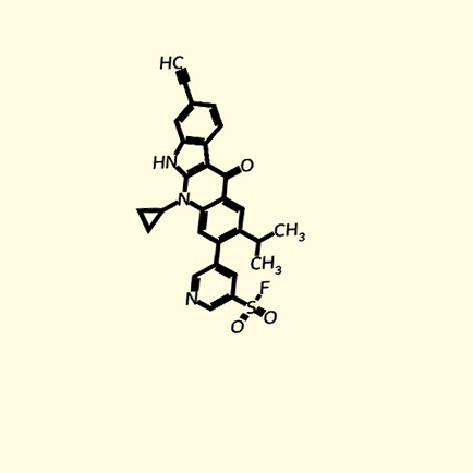 C#Cc1ccc2c(c1)[nH]c1c2c(=O)c2cc(C(C)C)c(-c3cncc(S(=O)(=O)F)c3)cc2n1C1CC1